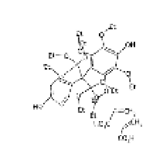 C=CC(=O)O.C=CC(=O)O.CCOc1c(O)c(OCC)c(OCC)c(C(c2ccc(O)cc2)(C(OCC)(OCC)OCC)C(OCC)(OCC)OCC)c1OCC